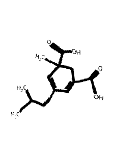 CC(C)CC1=CC(C)(C(=O)O)CC(C(=O)O)=C1